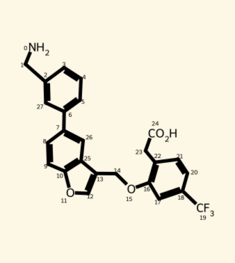 NCc1cccc(-c2ccc3occ(COc4cc(C(F)(F)F)ccc4CC(=O)O)c3c2)c1